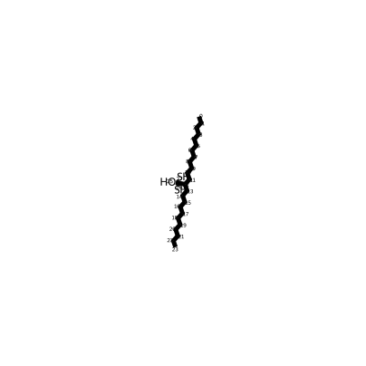 CCCCCCCCCCCCC(CCCCCCCCCCC)C(O)(S)S